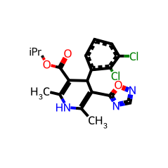 CC1=C(C(=O)OC(C)C)C(c2cccc(Cl)c2Cl)C(c2ncno2)=C(C)N1